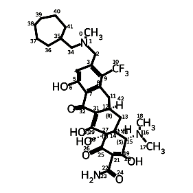 CN(Cc1cc(O)c2c(c1C(F)(F)F)C[C@H]1C[C@H]3[C@H](N(C)C)C(O)=C(C(N)=O)C(=O)[C@@]3(O)C(O)=C1C2=O)CC1CCCCCC1